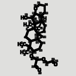 CC1(C)C2CCC3[C@]4(CC[C@]5(C)[C@H]6CCCOC6[C@H](O)[C@@]35C)C[C@]24CC[C@@H]1OC(C=O)OCC=O